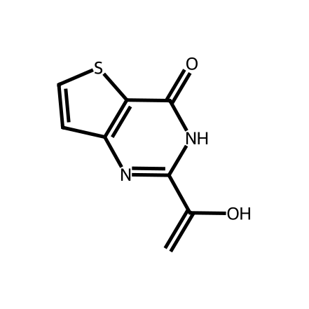 C=C(O)c1nc2ccsc2c(=O)[nH]1